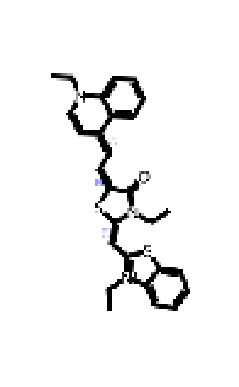 CCN1C=C/C(=C\C=c2\s/c(=C/c3sc4ccccc4[n+]3CC)n(CC)c2=O)c2ccccc21